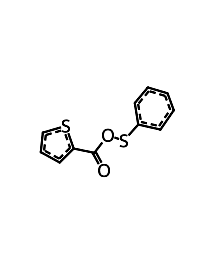 O=C(OSc1ccccc1)c1cccs1